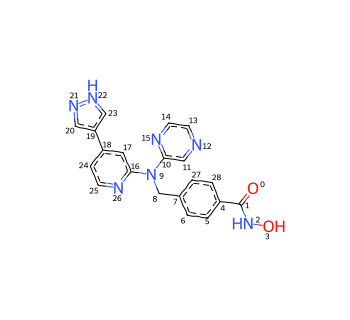 O=C(NO)c1ccc(CN(c2cnccn2)c2cc(-c3cn[nH]c3)ccn2)cc1